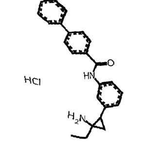 CCC1(N)CC1c1cccc(NC(=O)c2ccc(-c3ccccc3)cc2)c1.Cl